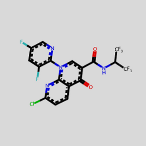 O=C(NC(C(F)(F)F)C(F)(F)F)c1cn(-c2ncc(F)cc2F)c2nc(Cl)ccc2c1=O